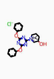 OC1C[N+]2(c3nc(Oc4ccccc4)nc(Oc4ccccc4)n3)CCC1CC2.[Cl-]